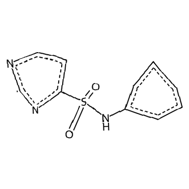 O=S(=O)(Nc1ccccc1)c1ccn[c]n1